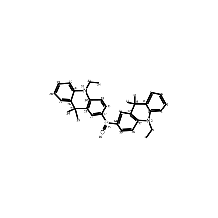 CCN1c2ccccc2C(C)(C)c2cc([P](=O)c3ccc4c(c3)C(C)(C)c3ccccc3N4CC)ccc21